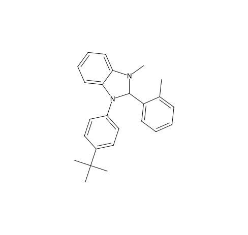 Cc1ccccc1C1N(C)c2ccccc2N1c1ccc(C(C)(C)C)cc1